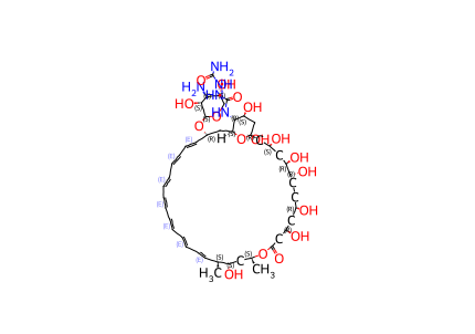 C[C@H]1C[C@H](O)[C@@H](C)/C=C/C=C/C=C/C=C/C=C/C=C/C=C/[C@H](O[C@@H]2OC[C@@H](O)[C@H](N)[C@@H]2O)C[C@@H]2O[C@](O)(C[C@@H](O)C[C@@H](O)[C@H](O)CC[C@@H](O)C[C@@H](O)CC(=O)O1)C[C@H](O)[C@H]2NC(=O)NNC(N)=O